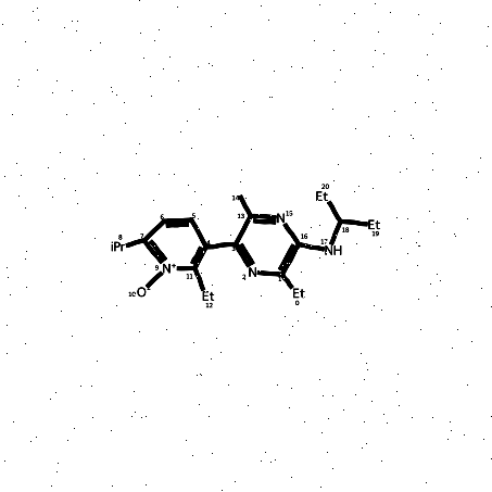 CCc1nc(-c2ccc(C(C)C)[n+]([O-])c2CC)c(C)nc1NC(CC)CC